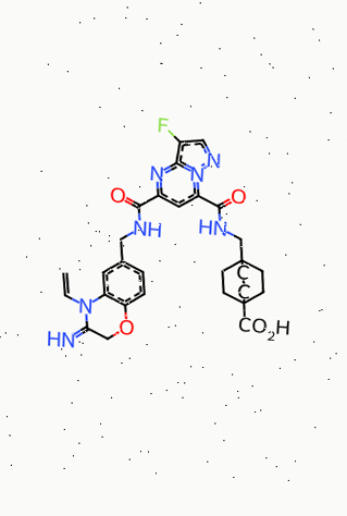 C=CN1C(=N)COc2ccc(CNC(=O)c3cc(C(=O)NCC45CCC(C(=O)O)(CC4)CC5)n4ncc(F)c4n3)cc21